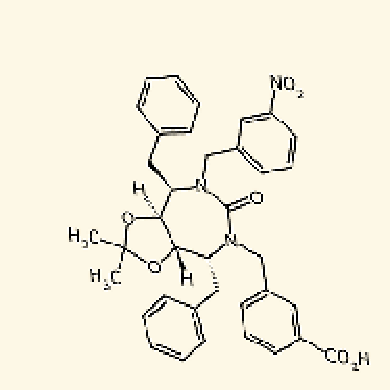 CC1(C)O[C@@H]2[C@@H](O1)[C@@H](Cc1ccccc1)N(Cc1cccc([N+](=O)[O-])c1)C(=O)N(Cc1cccc(C(=O)O)c1)[C@@H]2Cc1ccccc1